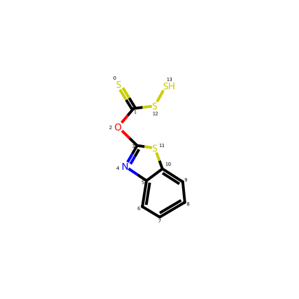 S=C(Oc1nc2ccccc2s1)SS